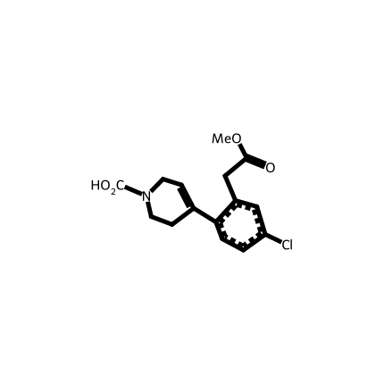 COC(=O)Cc1cc(Cl)ccc1C1=CCN(C(=O)O)CC1